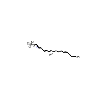 CCCCCCCCCCCCCC/C=C/OS(=O)(=O)[O-].[Na+]